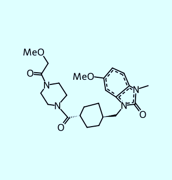 COCC(=O)N1CCN(C(=O)[C@H]2CC[C@H](Cn3c(=O)n(C)c4ccc(OC)cc43)CC2)CC1